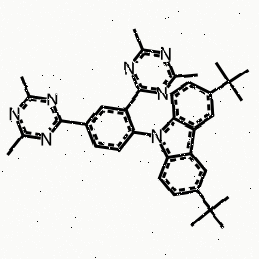 Cc1nc(C)nc(-c2ccc(-n3c4ccc(C(C)(C)C)cc4c4cc(C(C)(C)C)ccc43)c(-c3nc(C)nc(C)n3)c2)n1